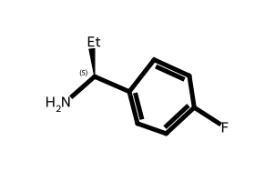 CC[C@H](N)c1ccc(F)cc1